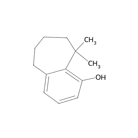 CC1(C)CCCCc2cccc(O)c21